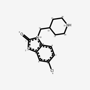 O=c1sc2cc(Cl)ccc2n1CC1CCNCC1